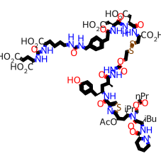 CCCC(=O)OCN(C(=O)[C@@H](NC(=O)[C@H]1CCCCN1C)C(C)CC)[C@H](C[C@@H](OC(C)=O)c1nc(C(=O)N[C@@H](Cc2ccc(O)cc2)C[C@H](C)C(=O)NNC(=O)OCCSSC[C@H](NC(=O)[C@H](CC(=O)O)NC(=O)[C@H](CC(=O)O)NC(=O)Cc2ccc(CNC(=O)NCCCCC(NC(=O)N[C@@H](CCC(=O)O)C(=O)O)C(=O)O)cc2)C(=O)O)cs1)C(C)C